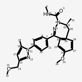 CNC(=O)N1N=C(c2ccc(-n3nc(COC)cc3C)cc2)c2cc(OC)ccc2C[C@@H]1C